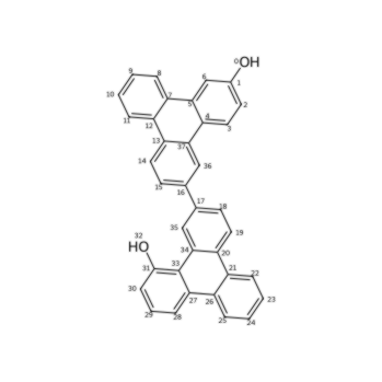 Oc1ccc2c(c1)c1ccccc1c1ccc(-c3ccc4c5ccccc5c5cccc(O)c5c4c3)cc12